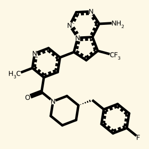 Cc1ncc(-c2cc(C(F)(F)F)c3c(N)ncnn23)cc1C(=O)N1CCC[C@@H](Cc2ccc(F)cc2)C1